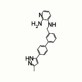 Cc1cc(-c2ccc(-c3cccc(CNc4cccnc4N)c3)cc2)[nH]n1